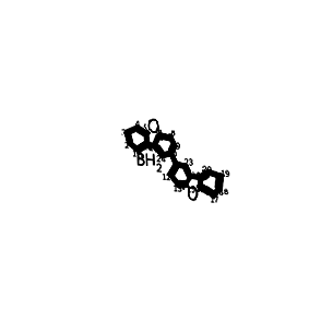 Bc1cccc2oc3ccc(-c4ccc5oc6ccccc6c5c4)cc3c12